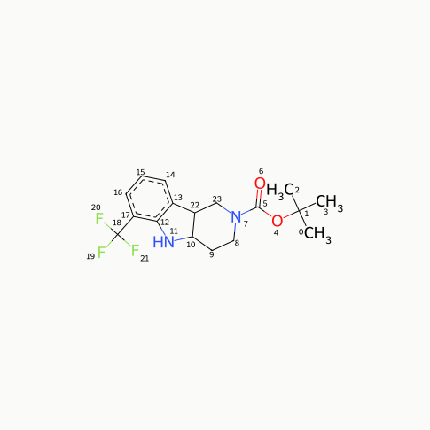 CC(C)(C)OC(=O)N1CCC2Nc3c(cccc3C(F)(F)F)C2C1